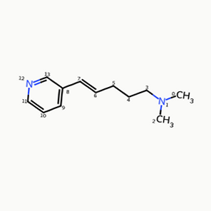 CN(C)CCCC=Cc1cccnc1